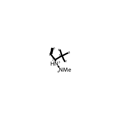 C=CC(NNC)C(C)(C)C